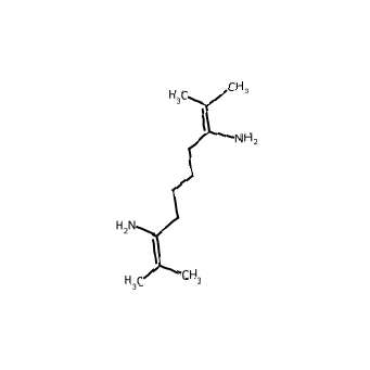 CC(C)=C(N)CCCCC(N)=C(C)C